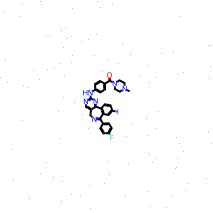 CN1CCN(C(=O)c2ccc(Nc3ncc4c(n3)-c3ccc(I)cc3C(c3ccc(F)cc3)=NC4)cc2)CC1